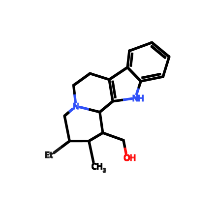 CCC1CN2CCc3c([nH]c4ccccc34)C2C(CO)C1C